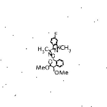 CO/C=C(/C(=O)OC)c1ccccc1CO/N=C(/C)c1nn(C)c2cc(F)ccc12